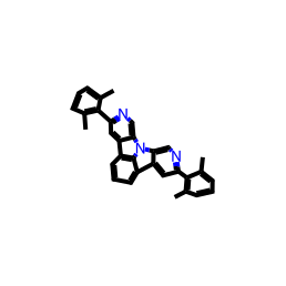 Cc1cccc(C)c1-c1cc2c3cccc4c5cc(-c6c(C)cccc6C)ncc5n(c2cn1)c34